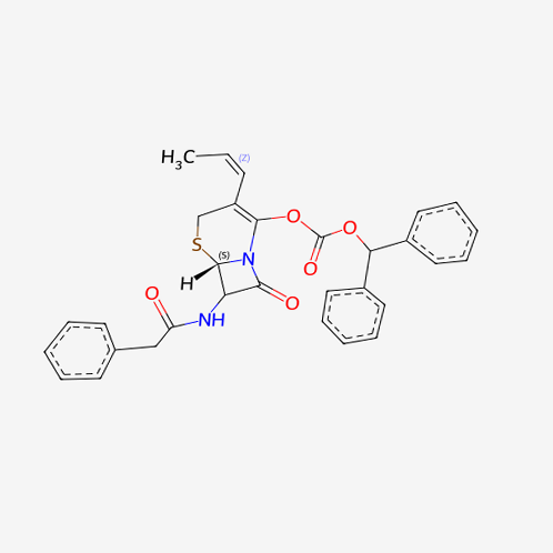 C/C=C\C1=C(OC(=O)OC(c2ccccc2)c2ccccc2)N2C(=O)C(NC(=O)Cc3ccccc3)[C@@H]2SC1